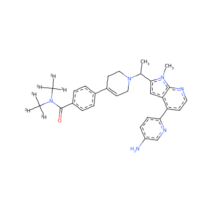 [2H]C([2H])([2H])N(C(=O)c1ccc(C2=CCN(C(C)c3cc4c(-c5ccc(N)cn5)ccnc4n3C)CC2)cc1)C([2H])([2H])[2H]